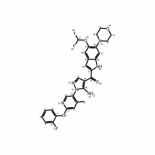 Cc1cc(Oc2ccccc2F)ncc1-n1ncc(C(=O)c2cc3cc(OC(F)F)c(N4CCOCC4)cc3[nH]2)c1N